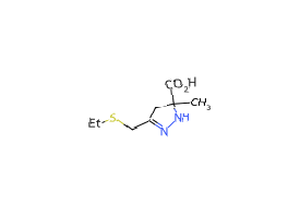 CCSCC1=NNC(C)(C(=O)O)C1